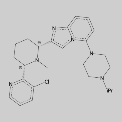 CC(C)N1CCN(c2cccc3nc([C@H]4CCC[C@@H](c5ncccc5Cl)N4C)cn23)CC1